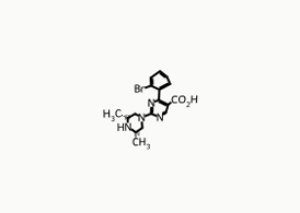 C[C@@H]1CN(c2ncc(C(=O)O)c(-c3ccccc3Br)n2)C[C@H](C)N1